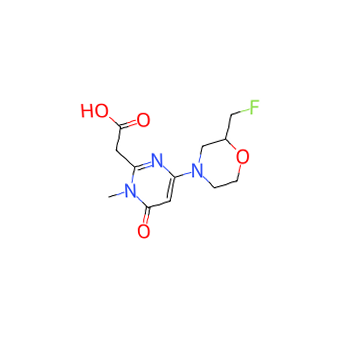 Cn1c(CC(=O)O)nc(N2CCOC(CF)C2)cc1=O